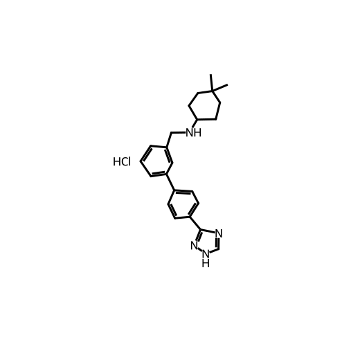 CC1(C)CCC(NCc2cccc(-c3ccc(-c4nc[nH]n4)cc3)c2)CC1.Cl